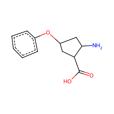 NC1CC(Oc2ccccc2)CC1C(=O)O